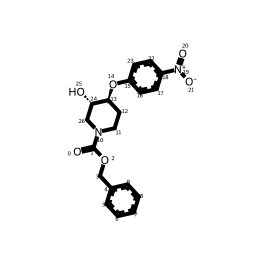 O=C(OCc1ccccc1)N1CC[C@H](Oc2ccc([N+](=O)[O-])cc2)[C@@H](O)C1